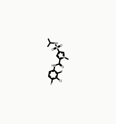 CC(C)NS(=O)(=O)c1cc(C(=O)Nc2ccc(F)c(Cl)c2F)n(C)c1